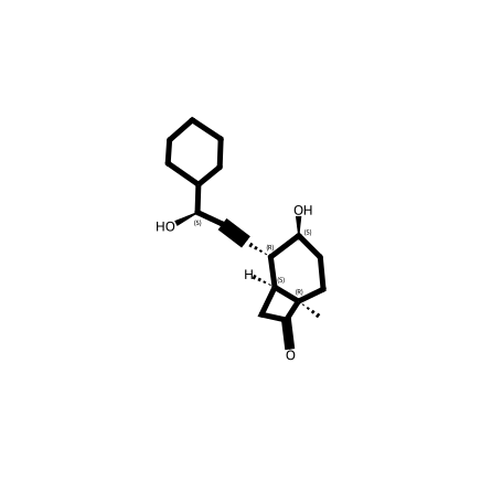 C[C@@]12CC[C@H](O)[C@@H](C#C[C@@H](O)C3CCCCC3)[C@@H]1CC2=O